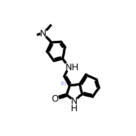 CN(C)c1ccc(N/C=C2/C(=O)Nc3ccccc32)cc1